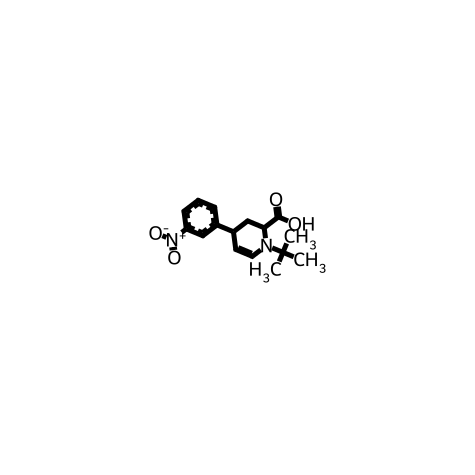 CC(C)(C)N1C=CC(c2cccc([N+](=O)[O-])c2)CC1C(=O)O